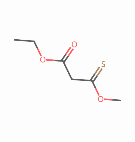 CCOC(=O)CC(=S)OC